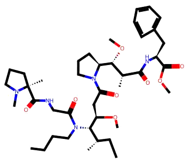 CCCCN(C(=O)CNC(=O)[C@]1(C)CCCN1C)[C@@H]([C@@H](C)CC)[C@@H](CC(=O)N1CCC[C@H]1[C@H](OC)[C@@H](C)C(=O)N[C@@H](Cc1ccccc1)C(=O)OC)OC